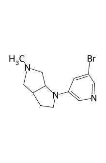 CN1CC2CCN(c3cncc(Br)c3)C2C1